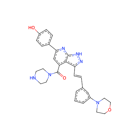 O=C(c1cc(-c2ccc(O)cc2)nc2[nH]nc(/C=C/c3cccc(N4CCOCC4)c3)c12)N1CCNCC1